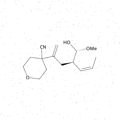 C=C(C[C@H](/C=C\C)[C@H](O)OC)C1(C#N)CCOCC1